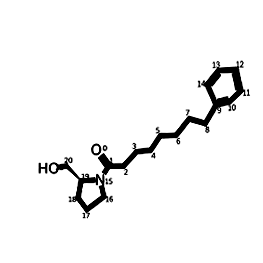 O=C(CCCCCCCc1ccccc1)N1CCC[C@H]1CO